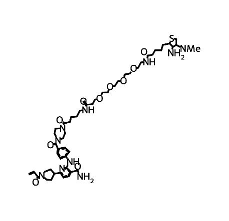 C=CC(=O)N1CCC(c2ccc(C(N)=O)c(Nc3ccc(C(=O)N4CCN(C(=O)CCCCNC(=O)CCOCCOCCOCCOCCNC(=O)CCCCC5SCC(NC)C5N)CC4)cc3)n2)CC1